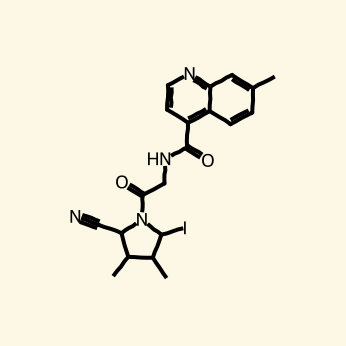 Cc1ccc2c(C(=O)NCC(=O)N3C(I)C(C)C(C)C3C#N)ccnc2c1